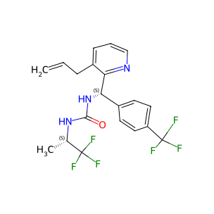 C=CCc1cccnc1[C@@H](NC(=O)N[C@@H](C)C(F)(F)F)c1ccc(C(F)(F)F)cc1